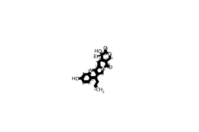 C=CCc1c2c(nc3cc(O)ccc13)-c1cc3c(c(=O)n1C2)COC(=O)[C@]3(O)CC